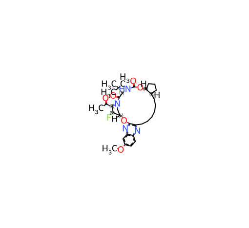 COc1ccc2nc3c(nc2c1)O[C@H]1CN(C(=O)[C@H](C(C)(C)C)NC(=O)O[C@@H]2CCC[C@H]2CCCCCC3)[C@H](C(C)=O)[C@@H]1F